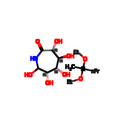 CCC[Si](C)(OCC)OCC.O=C1NC(O)[C@@H](O)[C@@H](O)[C@H](O)[C@H]1O